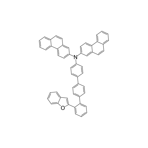 c1ccc(-c2cc3ccccc3o2)c(-c2ccc(-c3ccc(N(c4ccc5c(ccc6ccccc65)c4)c4ccc5c(ccc6ccccc65)c4)cc3)cc2)c1